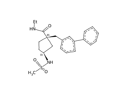 CCNC(=O)[C@@]1(Cc2cccc(-c3ccccc3)c2)CC[C@H](NS(C)(=O)=O)C1